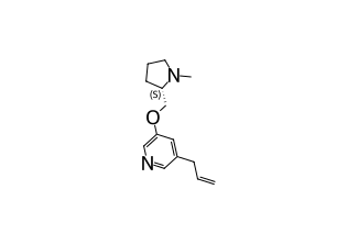 C=CCc1cncc(OC[C@@H]2CCCN2C)c1